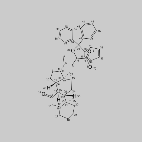 COC(=O)C(CC(C)[C@H]1CC[C@H]2[C@@H]3C(=O)CC4CCCC[C@]4(C)[C@H]3CC[C@]12C)OC(c1ccccc1)(c1ccccc1)c1ccccc1